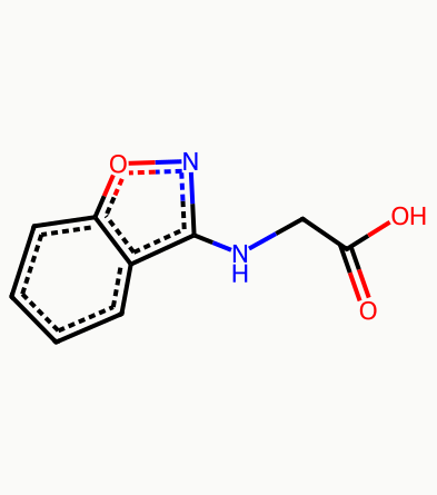 O=C(O)CNc1noc2ccccc12